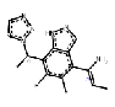 C/C=C(\N)c1c(C)c(F)c([C@@H](C)n2ncnn2)c2[nH]ncc12